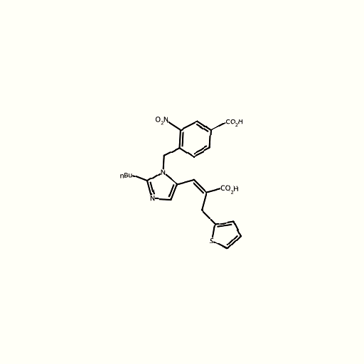 CCCCc1ncc(/C=C(\Cc2cccs2)C(=O)O)n1Cc1ccc(C(=O)O)cc1[N+](=O)[O-]